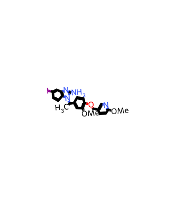 COc1ccc(COc2ccc(C(C)n3c(N)nc4cc(I)ccc43)cc2OC)cn1